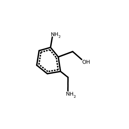 NCc1cccc(N)c1CO